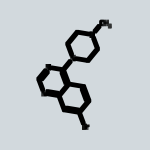 CN1CCN(c2ncnc3cc(Br)ccc23)CC1